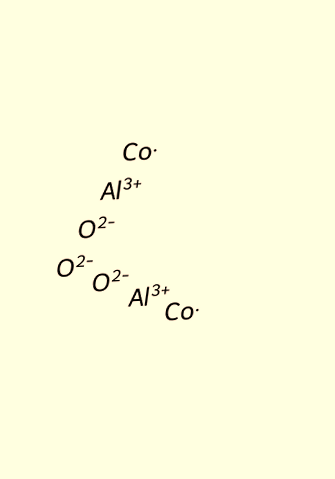 [Al+3].[Al+3].[Co].[Co].[O-2].[O-2].[O-2]